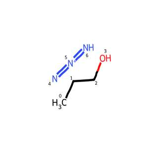 CCCO.[N-]=[N+]=N